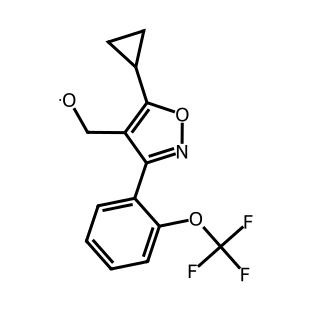 [O]Cc1c(-c2ccccc2OC(F)(F)F)noc1C1CC1